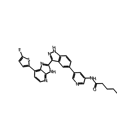 CCCCC(=O)Nc1cncc(-c2ccc3[nH]nc(-c4nc5c(-c6ccc(F)s6)ccnc5[nH]4)c3c2)c1